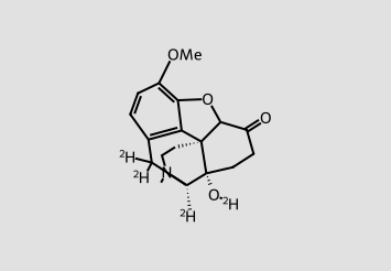 [2H]O[C@@]12CCC(=O)C3Oc4c(OC)ccc5c4[C@@]31CCN(C)[C@]2([2H])C5([2H])[2H]